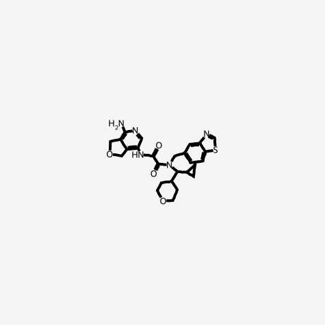 Nc1ncc(NC(=O)C(=O)N(Cc2ccc3scnc3c2)C(C2CCOCC2)C2CC2)c2c1COC2